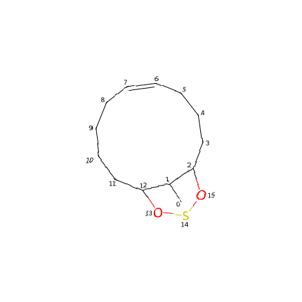 CC1C2CCC/C=C\CCCCC1OSO2